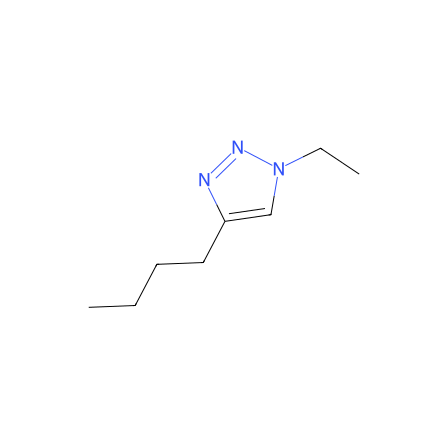 CCCCc1cn(CC)nn1